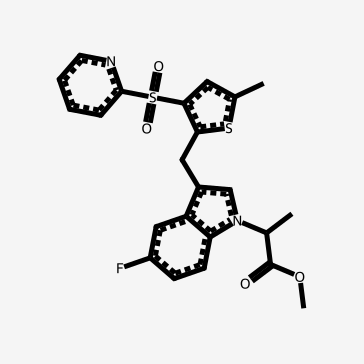 COC(=O)C(C)n1cc(Cc2sc(C)cc2S(=O)(=O)c2ccccn2)c2cc(F)ccc21